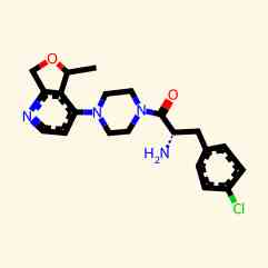 CC1OCc2nccc(N3CCN(C(=O)[C@@H](N)Cc4ccc(Cl)cc4)CC3)c21